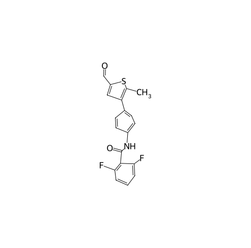 Cc1sc(C=O)cc1-c1ccc(NC(=O)c2c(F)cccc2F)cc1